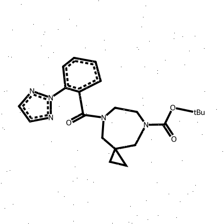 CC(C)(C)OC(=O)N1CCN(C(=O)c2ccccc2-n2nccn2)CC2(CC2)C1